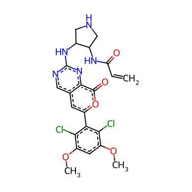 C=CC(=O)NC1CNCC1Nc1ncc2cc(-c3c(Cl)c(OC)cc(OC)c3Cl)oc(=O)c2n1